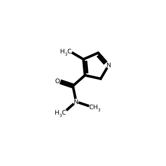 CC1=C(C(=O)N(C)C)CN=C1